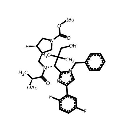 CC(=O)O[C@@H](C)C(=O)N(C[C@@H]1CN(C(=O)OC(C)(C)C)C[C@@H]1F)[C@@H](c1nc(-c2cc(F)ccc2F)cn1Cc1ccccc1)C(C)(C)CO